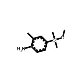 CO[Si](C)(C)c1ccc(N)c(C)c1